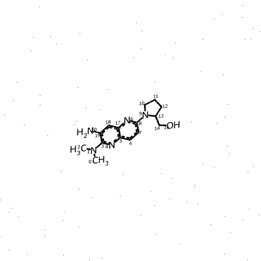 CN(C)c1nc2ccc(N3CCCC3CO)nc2cc1N